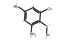 CC(C)Sc1c(N)cc(C(C)(C)C)cc1Cl